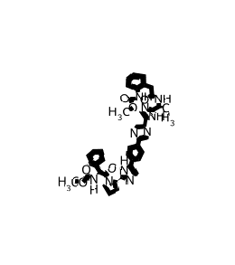 COC(=O)Nc1ccccc1CC(=O)N[C@@H](C)c1ncc(-c2cnc(-c3ccc(-c4cnc([C@@H]5CCCN5C(=O)[C@H](NC(=O)OC)c5ccccc5)[nH]4)cc3)cn2)[nH]1